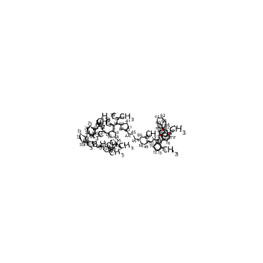 C=C(C1CC(CC(C)(C)CC(C)(C)OCCC)CC1C(C)CC(C)c1ccc(C2=C(C)C=CC2)cc1)C(C(C)C)C1CCC(CCCC2CCC(CCCc3cccc(C4C5CCC4CC(c4cc(-c6ccccc6C)ccc4C)C5)c3)C(C)C2)C1